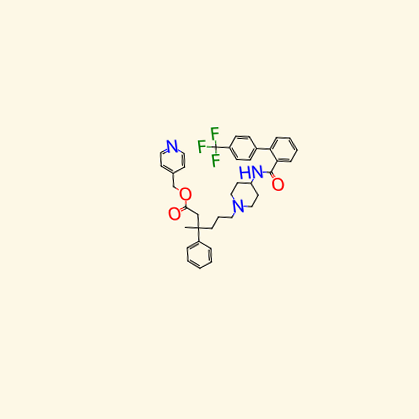 CC(CCCN1CCC(NC(=O)c2ccccc2-c2ccc(C(F)(F)F)cc2)CC1)(CC(=O)OCc1ccncc1)c1ccccc1